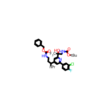 CCCC(CCNC(=O)OCc1ccccc1)c1cc(-c2ccc(F)c(Cl)c2)nc(C(O)(CNC(=O)OC(C)(C)C)C(F)(F)F)c1